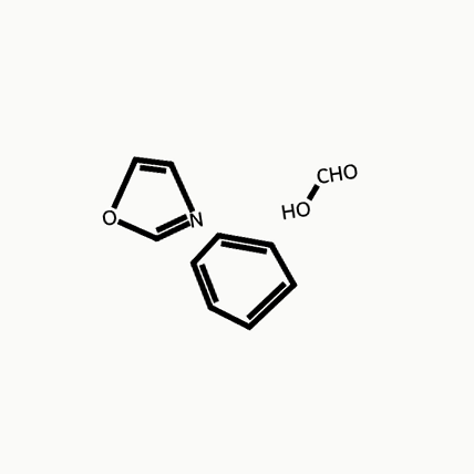 O=CO.c1ccccc1.c1cocn1